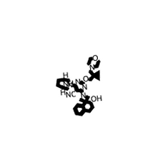 N#Cc1c(N2C[C@H]3CC[C@@H](C2)N3)nc(OCC2(CN3CCOCC3)CC2)nc1N1CC2(C1)c1ccccc1CCC2O